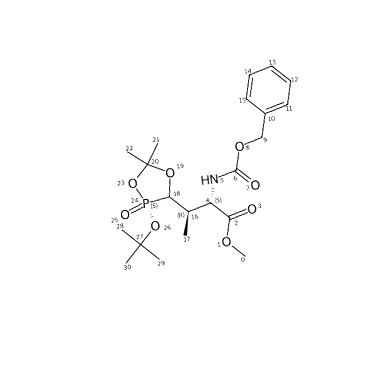 COC(=O)[C@@H](NC(=O)OCc1ccccc1)[C@@H](C)C1OC(C)(C)O[P@@]1(=O)OC(C)(C)C